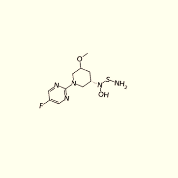 COC1C[C@H](N(O)SN)CN(c2ncc(F)cn2)C1